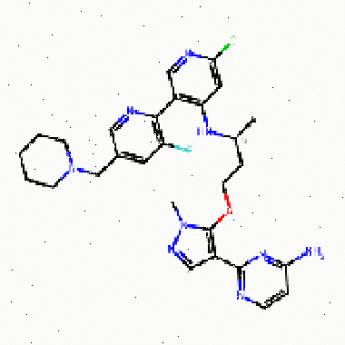 C[C@@H](CCOc1c(-c2nccc(N)n2)cnn1C)Nc1cc(Cl)ncc1-c1ncc(CN2CCCCC2)cc1F